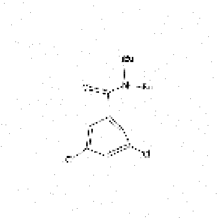 CCC(C)N(C(=O)c1cc(Cl)cc(Cl)c1)C(C)CC